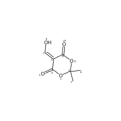 CC1(C)OC(=O)C(=CO)C(=O)O1